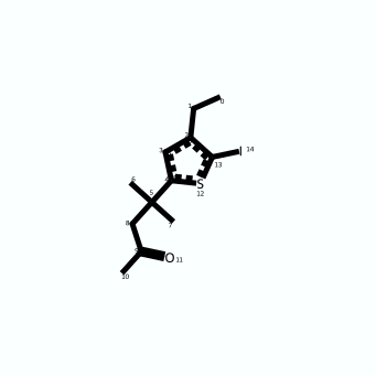 CCc1cc(C(C)(C)CC(C)=O)sc1I